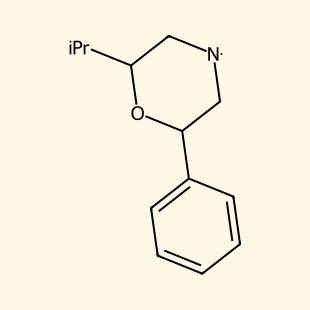 CC(C)C1C[N]CC(c2ccccc2)O1